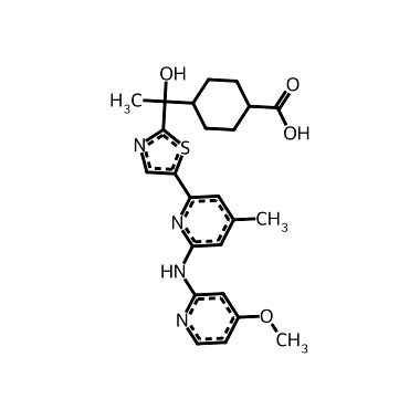 COc1ccnc(Nc2cc(C)cc(-c3cnc(C(C)(O)C4CCC(C(=O)O)CC4)s3)n2)c1